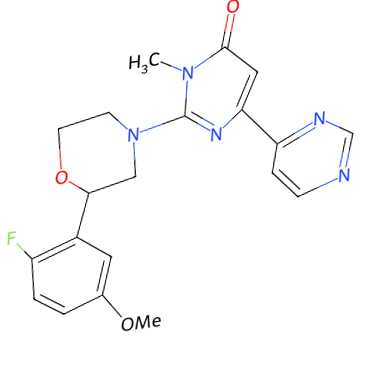 COc1ccc(F)c(C2CN(c3nc(-c4ccncn4)cc(=O)n3C)CCO2)c1